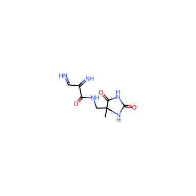 CC1(CNC(=O)C(=N)C=N)NC(=O)NC1=O